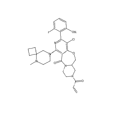 C=CC(=O)N1CCN2C(=O)c3c(N4CCN(C)C5(CCC5)C4)nc(-c4c(O)cccc4F)c(Cl)c3OCC2C1